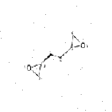 C(C[C@H]1CO1)C1CO1